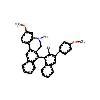 CCCCN(CCCC)Cc1c(-c2ccc(OC(F)(F)F)cc2)cc2ccccc2c1-c1c(CC)c(-c2ccc(OC(F)(F)F)cc2)cc2ccccc12